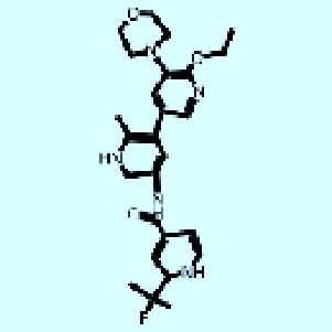 CCOc1ncc(C2=C(C)NCC(NC(=O)C3=CC(C(C)(C)F)NC=C3)=C2)cc1N1CCOCC1